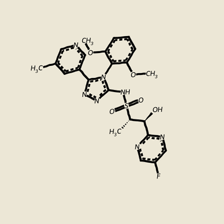 COc1cccc(OC)c1-n1c(NS(=O)(=O)[C@@H](C)[C@@H](O)c2ncc(F)cn2)nnc1-c1cncc(C)c1